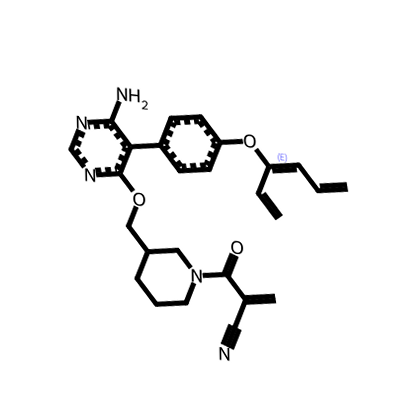 C=C/C=C(\C=C)Oc1ccc(-c2c(N)ncnc2OCC2CCCN(C(=O)C(=C)C#N)C2)cc1